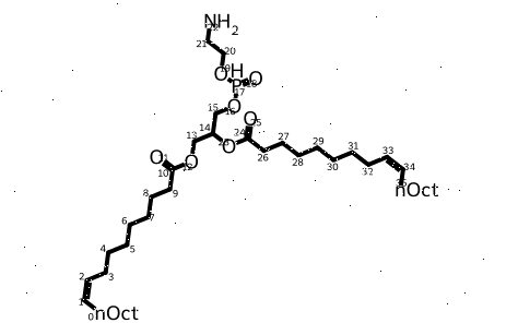 CCCCCCCC/C=C\CCCCCCCC(=O)OCC(CO[PH](=O)OCCN)OC(=O)CCCCCCC/C=C\CCCCCCCC